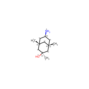 C[C@]1(O)C[C@]2(C)C[C@@H](N)C[C@](C)(C1)C2